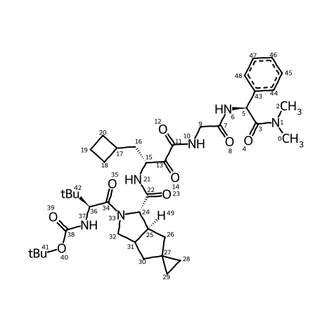 CN(C)C(=O)[C@@H](NC(=O)CNC(=O)C(=O)[C@@H](CC1CCC1)NC(=O)[C@@H]1[C@H]2CC3(CC3)CC2CN1C(=O)[C@@H](NC(=O)OC(C)(C)C)C(C)(C)C)c1ccccc1